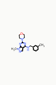 Cc1cccc(CNc2nc(N3CCOCC3)nc3c2cnn3C)c1